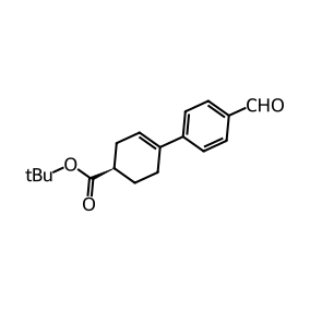 CC(C)(C)OC(=O)[C@H]1CC=C(c2ccc(C=O)cc2)CC1